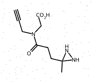 C#CCN(CC(=O)O)C(=O)CCC1(C)NN1